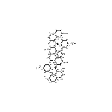 Cc1ccc2ccc(C)c(N(c3ccc(C(C)C)cc3)c3cc(C)c4ccc5c(N(c6ccc(C(C)C)cc6)c6c(C)ccc7ccc(C)cc67)cc(C)c6ccc3c4c65)c2c1